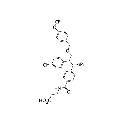 CCCC(c1ccc(C(=O)NCCC(=O)O)cc1)C(COCc1ccc(OC(F)(F)F)cc1)c1ccc(Cl)cc1